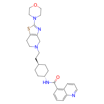 O=C(N[C@H]1CC[C@H](CCN2CCc3sc(N4CCOCC4)nc3C2)CC1)c1cccc2ncccc12